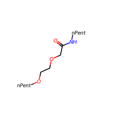 CCCCCNC(=O)COCCOCCCCC